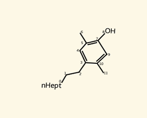 CCCCCCCCCc1cc(C)c(O)cc1C